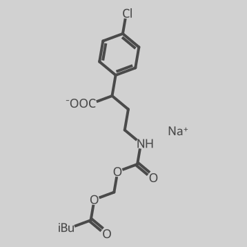 CCC(C)C(=O)OCOC(=O)NCCC(C(=O)[O-])c1ccc(Cl)cc1.[Na+]